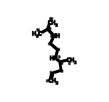 C=CCC(C)NCCNC(C)C